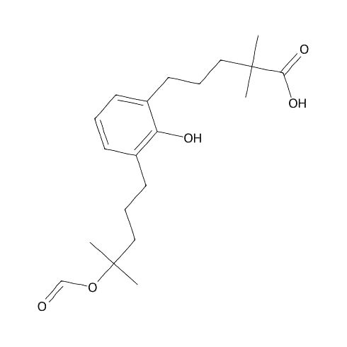 CC(C)(CCCc1cccc(CCCC(C)(C)C(=O)O)c1O)OC=O